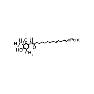 CCCCCC=CCC=CCCCCCCCC(=O)Nc1cc(C)c(O)c(C)c1C